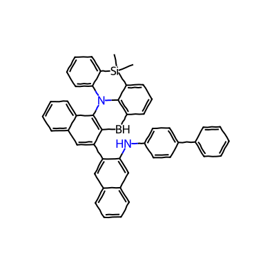 C[Si]1(C)c2ccccc2N2c3c(cccc31)Bc1c(-c3cc4ccccc4cc3Nc3ccc(-c4ccccc4)cc3)cc3ccccc3c12